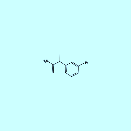 CC(C)c1cccc(C(C)C(N)=O)c1